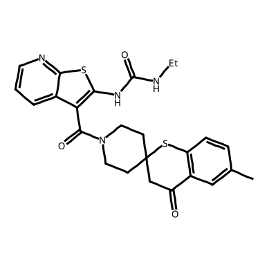 CCNC(=O)Nc1sc2ncccc2c1C(=O)N1CCC2(CC1)CC(=O)c1cc(C)ccc1S2